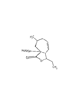 CCC1OC(=O)C2(C#N)CC(C)CC=CC12